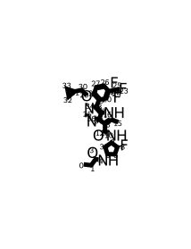 CCC(=O)N[C@H]1C[C@@H](F)[C@H](NC(=O)c2c(C)[nH]c3c(-c4cc(C(F)(F)F)ccc4OCC4CC4)ncnc23)C1